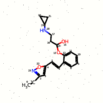 CCc1cc(/C=C/c2ccccc2OC(O)CCNC2CC2)on1